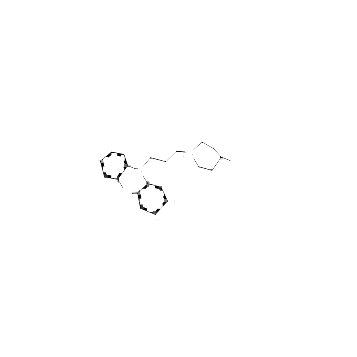 CCOC(=O)C1CCN(CCCN2c3ccccc3Oc3ccccc32)CC1